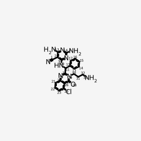 N#Cc1c(N)nc(N)nc1NC(c1ccccc1)c1nc2cccc(Cl)c2c(=O)n1CCCN